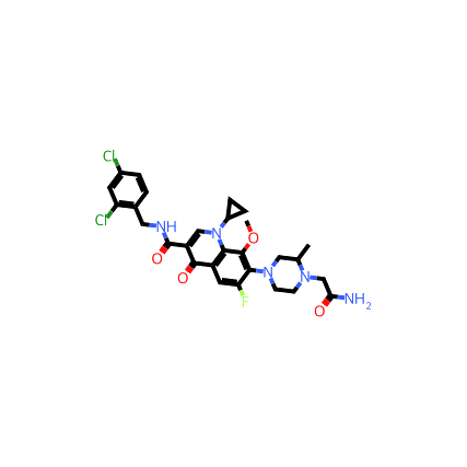 COc1c(N2CCN(CC(N)=O)C(C)C2)c(F)cc2c(=O)c(C(=O)NCc3ccc(Cl)cc3Cl)cn(C3CC3)c12